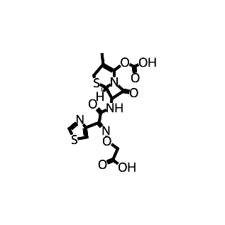 CC1=C(OC(=O)O)N2C(=O)C(NC(=O)C(=NOCC(=O)O)c3cscn3)[C@@H]2SC1